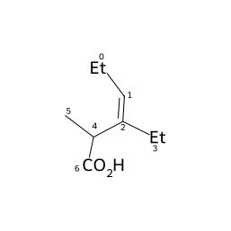 CCC=C(CC)C(C)C(=O)O